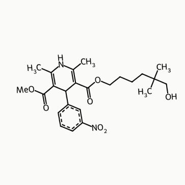 COC(=O)C1=C(C)NC(C)=C(C(=O)OCCCCC(C)(C)CO)C1c1cccc([N+](=O)[O-])c1